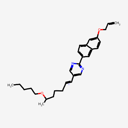 C=CCOc1ccc2cc(-c3ncc(/C=C/CCCC(C)OCCCCC)cn3)ccc2c1